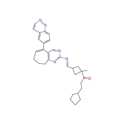 CC1(C(=O)CCC2CCCC2)CC(C=Nc2ncc3c(n2)CCCC=C3c2ccc3nnccc3c2)C1